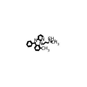 Cc1cccc2c1N(CCCN(C)C)c1ncccc1N=C2c1ccccc1